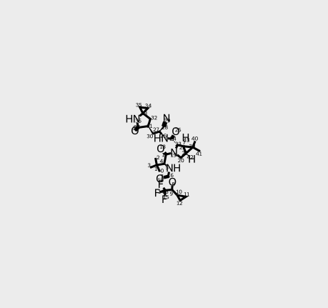 CC(C)(C)[C@H](NC(=O)OC(C1CC1)C(F)(F)F)C(=O)N1C[C@H]2[C@@H]([C@H]1C(=O)N[C@H](C#N)C[C@@H]1CC3(CC3)NC1=O)C2(C)C